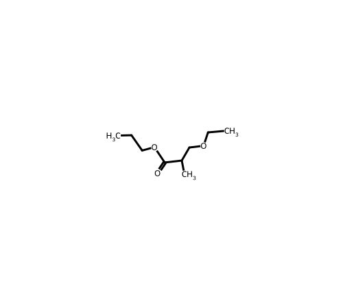 CCCOC(=O)C(C)COCC